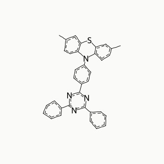 Cc1ccc2c(c1)Sc1cc(C)ccc1N2c1ccc(-c2nc(-c3ccccc3)nc(-c3ccccc3)n2)cc1